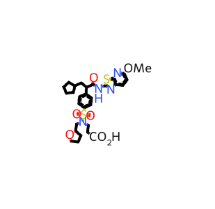 COc1ccc2nc(NC(=O)C(CC3CCCC3)c3ccc(S(=O)(=O)N(CCC(=O)O)CC4CCCO4)cc3)sc2n1